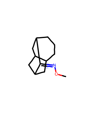 CO/N=C1/C2CCCC3CC1CC3C2